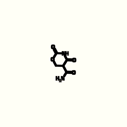 NC(=O)C1COC(=O)NC1=O